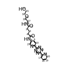 O=C(CCCC(=O)Nc1ccc(-c2nnc(-c3ccccn3)nn2)nc1)NCCOCCO